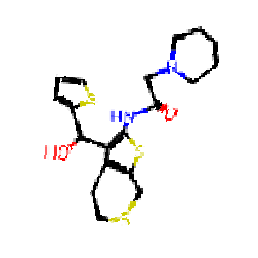 O=C(CN1CCCCC1)Nc1sc2c(c1C(O)c1cccs1)CCSC2